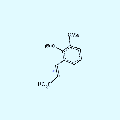 COc1cccc(/C=C/C(=O)O)c1OCC(C)C